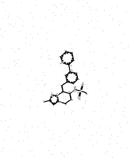 Cc1cc2n(n1)C(Cc1cccc(-c3ccccn3)c1)C(NS(C)(=O)=O)CC2